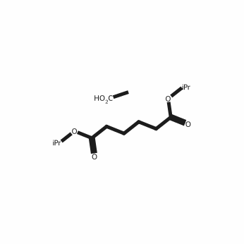 CC(=O)O.CC(C)OC(=O)CCCCC(=O)OC(C)C